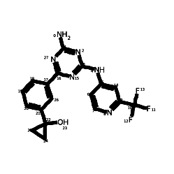 Nc1nc(Nc2ccnc(C(F)(F)F)c2)nc(-c2cccc(C3(O)CC3)c2)n1